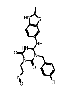 CC1Nc2ccc(NC3NC(=O)N(CCN=O)C(=O)N3Cc3ccc(Cl)cc3)cc2S1